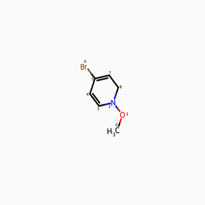 CON1C=CC(Br)=CC1